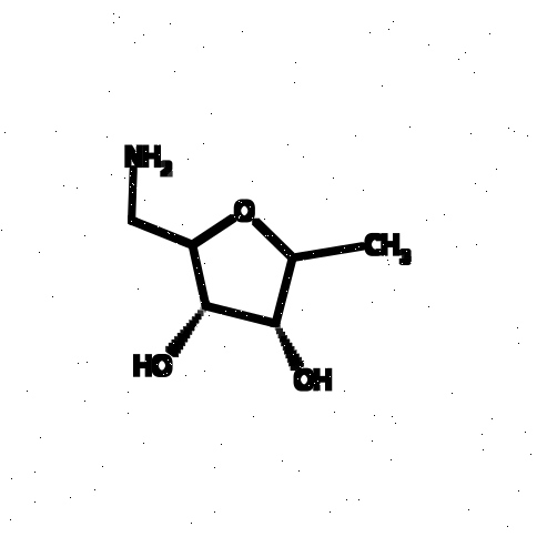 CC1OC(CN)[C@@H](O)[C@H]1O